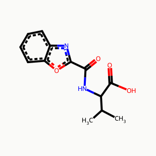 CC(C)C(NC(=O)c1nc2ccccc2o1)C(=O)O